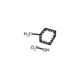 Cc1ccccc1.O=[N+]([O-])O